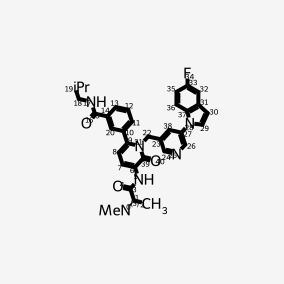 CN[C@@H](C)C(=O)Nc1ccc(-c2cccc(C(=O)NCC(C)C)c2)n(Cc2cncc(-n3ccc4cc(F)ccc43)c2)c1=O